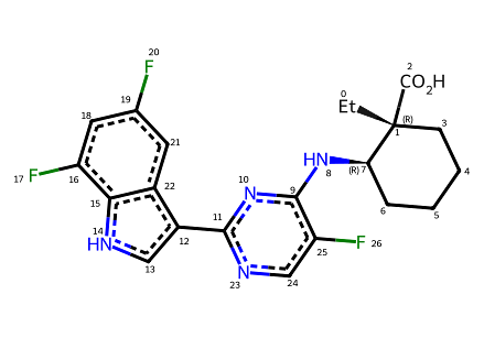 CC[C@@]1(C(=O)O)CCCC[C@H]1Nc1nc(-c2c[nH]c3c(F)cc(F)cc23)ncc1F